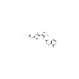 C[C@@H](CC(=O)Nc1c(-c2cnc(NC(=O)OC(C)(C)C)cn2)nnn1C)c1cccnc1F